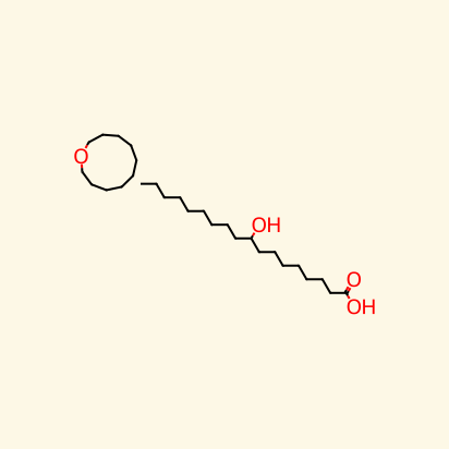 C1CCCCCOCCCC1.CCCCCCCCCC(O)CCCCCCCC(=O)O